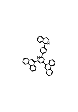 C1=CC2C=C(c3cc(C4=CC5CCC=CC5c5ccccc54)nc(C4=CC=C(C5=NCCc6ccccc65)CC4)n3)c3ccccc3C2C=C1